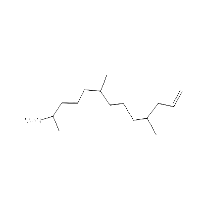 [CH]=CCC(C)CCCC(C)CCCC(C)NC